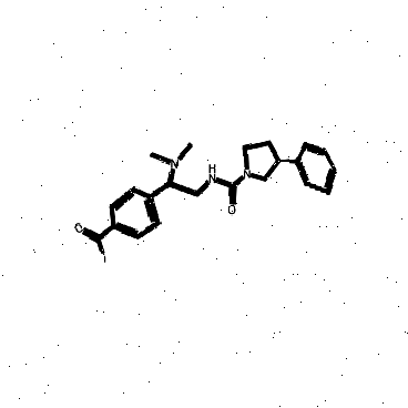 CN(C)C(CNC(=O)N1CC[C@@H](c2ccccc2)C1)c1ccc(C(=O)I)cc1